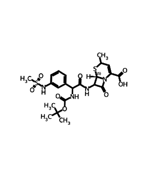 CC1C=C(C(=O)O)N2C(=O)C(NC(=O)C(NC(=O)OC(C)(C)C)c3cccc(NS(C)(=O)=O)c3)[C@@H]2S1